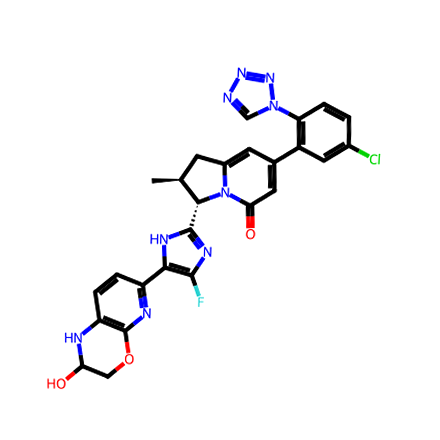 C[C@H]1Cc2cc(-c3cc(Cl)ccc3-n3cnnn3)cc(=O)n2[C@@H]1c1nc(F)c(-c2ccc3c(n2)OCC(O)N3)[nH]1